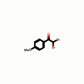 COc1ccc(C(=O)C(Br)Br)cc1